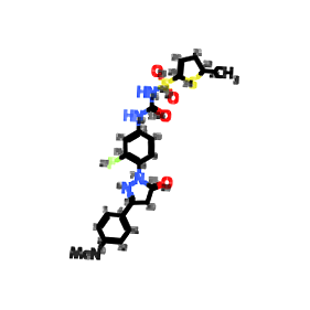 CNc1ccc(C2=NN(c3ccc(NC(=O)NS(=O)(=O)C4=CCC(C)S4)cc3F)C(=O)C2)cc1